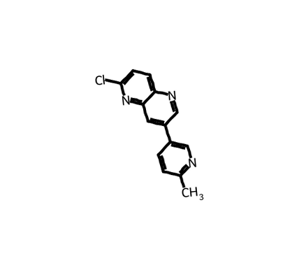 Cc1ccc(-c2cnc3ccc(Cl)nc3c2)cn1